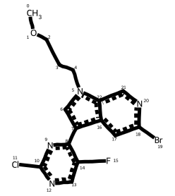 COCCCn1cc(-c2nc(Cl)ncc2F)c2cc(Br)ncc21